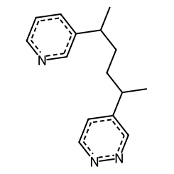 CC(CCC(C)c1ccnnc1)c1cccnc1